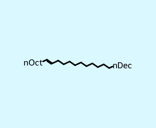 CCCCCCCCC=CCCCCCCCCCCCCCCCCCCCC